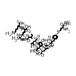 CC(C)CC(N)C(=O)O.CCC(C)C(N)C(=O)O.CSCCC(N)C(=O)O.N.N=C(N)NCCCC(N)C(=O)O.NC(Cc1c[nH]cn1)C(=O)O.NC(Cc1ccc(O)cc1)C(=O)O.NC(Cc1ccccc1)C(=O)O.NCCCCC(N)C(=O)O